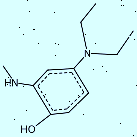 CCN(CC)c1ccc(O)c(NC)c1